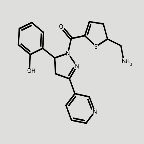 NCC1CC=C(C(=O)N2N=C(c3cccnc3)CC2c2ccccc2O)S1